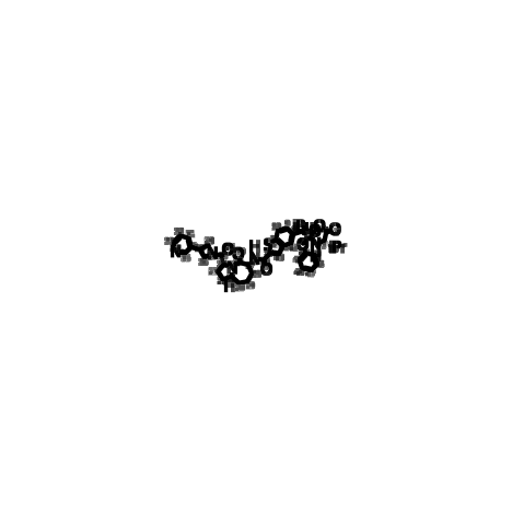 CC(C)COC(=O)[C@@H](NP(=O)(Cc1ccc2sc(C(=O)N[C@H]3CCC[C@H]4CC[C@@H](C(=O)N5CC(c6cccnc6)C5)N4C3=O)cc2c1)Oc1ccccc1)C(C)C